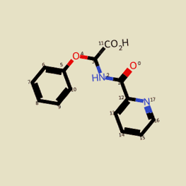 O=C(NC(Oc1ccccc1)C(=O)O)c1ccccn1